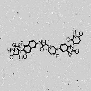 Cn1c(=O)n(C2CCC(=O)NC2=O)c2ccc([C@@H]3CN(CC(=O)Nc4ccc5c(F)c(N6CC(=O)NS6(=O)=O)c(O)cc5c4)CC[C@H]3F)cc21